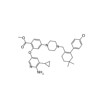 COC(=O)c1ccc(N2CCN(CC3=C(c4ccc(Cl)cc4)CC(C)(C)CC3)CC2)cc1Oc1cnc(N)c(C2CC2)c1